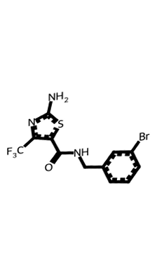 Nc1nc(C(F)(F)F)c(C(=O)NCc2cccc(Br)c2)s1